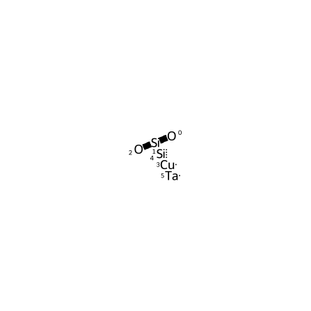 O=[Si]=O.[Cu].[Si].[Ta]